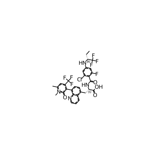 CC[C@@H](Nc1cc(F)c(C(=O)N[C@@H](Cc2ccc(-c3c(C(F)(F)F)cc(C)n(C)c3=O)c3ncccc23)C(=O)O)c(Cl)c1)C(F)(F)F